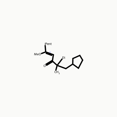 CCCC(C)/C(=C/C(=O)C(C)(CC)CC1CCCC1)OC